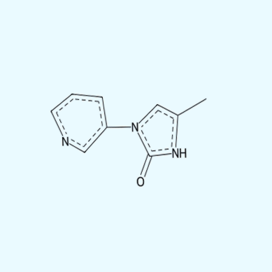 Cc1cn(-c2cccnc2)c(=O)[nH]1